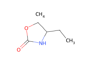 C.CCC1COC(=O)N1